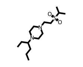 CCCC(CC)N1CCN(CCS(=O)(=O)C(C)C)CC1